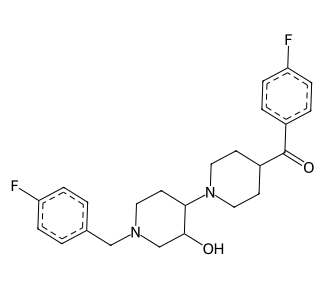 O=C(c1ccc(F)cc1)C1CCN(C2CCN(Cc3ccc(F)cc3)CC2O)CC1